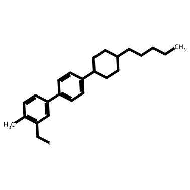 CCCCCC1CCC(c2ccc(-c3ccc(C)c(CI)c3)cc2)CC1